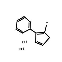 Cl.Cl.[Ti][C]1=C(c2ccccc2)C=CC1